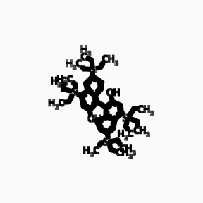 CC[Si](CC)(CC)c1ccc2c(-c3c(O)cc([Si](CC)(CC)CC)c4cc([Si](CC)(CC)CC)ccc34)c(O)cc([Si](CC)(CC)CC)c2c1